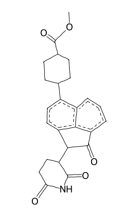 COC(=O)C1CCC(c2ccc3c4c(cccc24)C(=O)C3C2CCC(=O)NC2=O)CC1